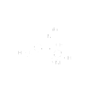 Cc1cc(C)c2[nH]ccc2c1C[C@@H]1CCN(CC(C)C)C[C@H]1c1ccc(C(=O)O)cc1